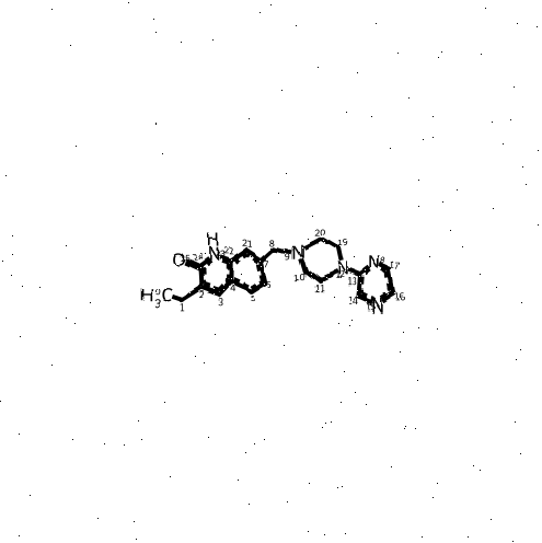 CCc1cc2ccc(CN3CCN(c4cnccn4)CC3)cc2[nH]c1=O